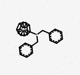 c1ccc(CP(Cc2ccccc2)[C]23[CH]4[CH]5[CH]6[CH]2[Co]56432789[CH]3[CH]2[CH]7[CH]8[CH]39)cc1